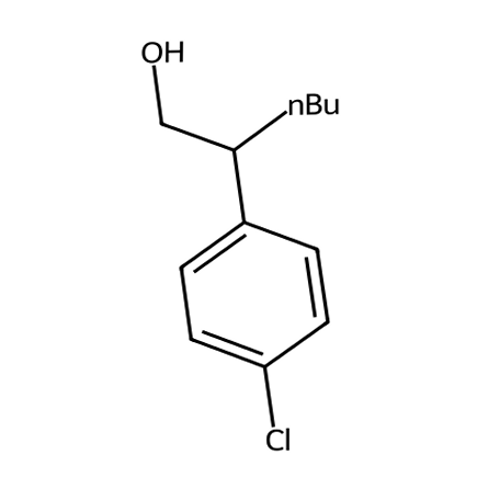 CCCCC(CO)c1ccc(Cl)cc1